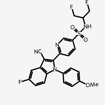 COc1ccc(-n2c(-c3ccc(S(=O)(=O)NC(CF)CF)cn3)c(C#N)c3cc(F)ccc32)cc1